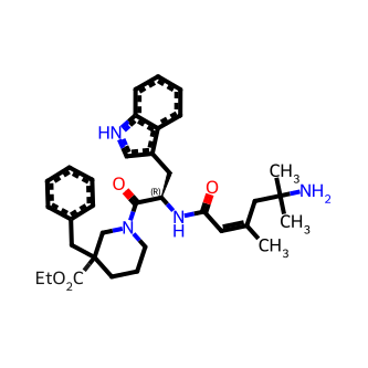 CCOC(=O)C1(Cc2ccccc2)CCCN(C(=O)[C@@H](Cc2c[nH]c3ccccc23)NC(=O)C=C(C)CC(C)(C)N)C1